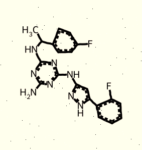 CC(Nc1nc(N)nc(Nc2cc(-c3ccccc3F)[nH]n2)n1)c1ccc(F)cc1